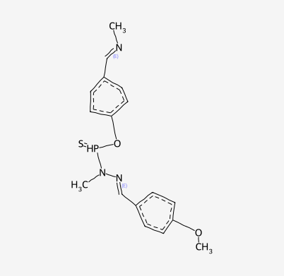 C/N=C/c1ccc(O[PH](=S)N(C)/N=C/c2ccc(OC)cc2)cc1